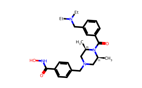 CCN(CC)Cc1cccc(C(=O)N2[C@H](C)CN(Cc3ccc(C(=O)NO)cc3)C[C@@H]2C)c1